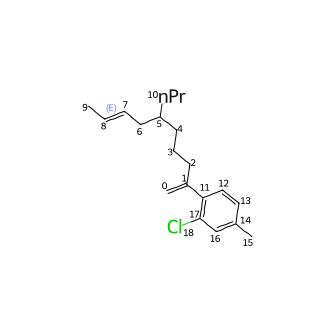 C=C(CCCC(C/C=C/C)CCC)c1ccc(C)cc1Cl